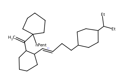 C=C(C1CCCCC1/C=C/CCC1CCC(C(CC)CC)CC1)C1(CCCCC)CCCCC1